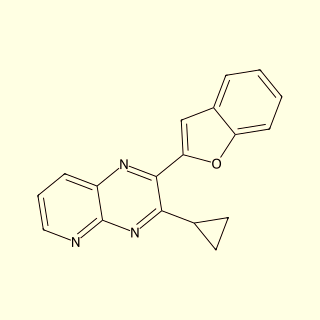 c1ccc2oc(-c3nc4cccnc4nc3C3CC3)cc2c1